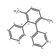 Cc1[c]cc(C)c(-c2cccnc2)c1-c1cccnc1